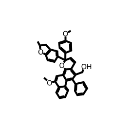 COc1ccc(C2(c3ccc4c(c3)CC(C)O4)C=Cc3c(CO)c(-c4ccccc4)c4c(cc(OC)c5ccccc54)c3O2)cc1